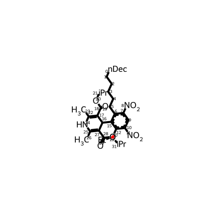 CCCCCCCCCCCCCCCc1c([N+](=O)[O-])cc([N+](=O)[O-])c(OCC)c1C1C(C(=O)OC(C)C)=C(C)NC(C)=C1C(=O)OC(C)C